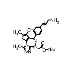 Cc1sc2c(c1C)C(c1ccc(/C=C/CN)cc1)=N[C@H](CC(=O)OC(C)(C)C)c1nnc(C)n1-2